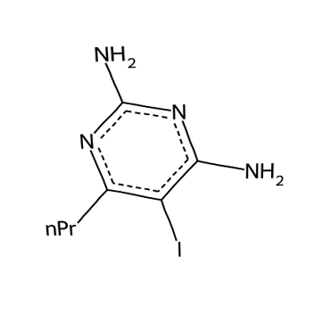 CCCc1nc(N)nc(N)c1I